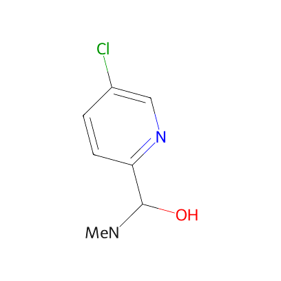 CNC(O)c1ccc(Cl)cn1